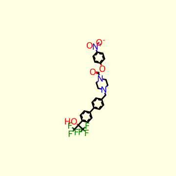 O=C(Oc1ccc([N+](=O)[O-])cc1)N1CCN(Cc2ccc(-c3ccc(C(O)(C(F)(F)F)C(F)(F)F)cc3)cc2)CC1